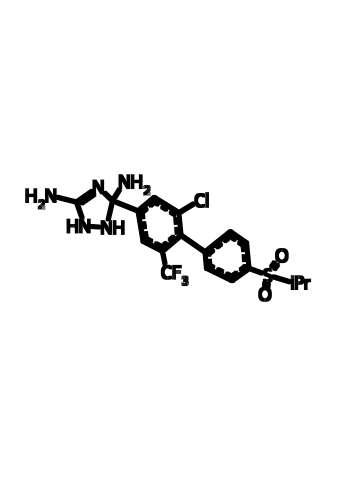 CC(C)S(=O)(=O)c1ccc(-c2c(Cl)cc(C3(N)N=C(N)NN3)cc2C(F)(F)F)cc1